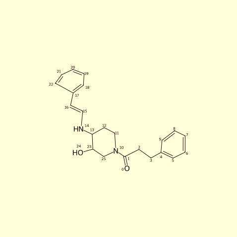 O=C(CCc1ccccc1)N1CCC(NC=Cc2ccccc2)C(O)C1